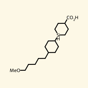 COCCCCCC1CCC([SiH]2CCC(C(=O)O)CC2)CC1